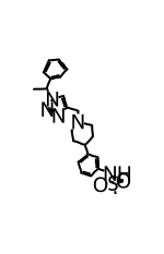 CC(c1ccccc1)n1cc(CN2CCC(c3cccc(NS(C)(=O)=O)c3)CC2)nn1